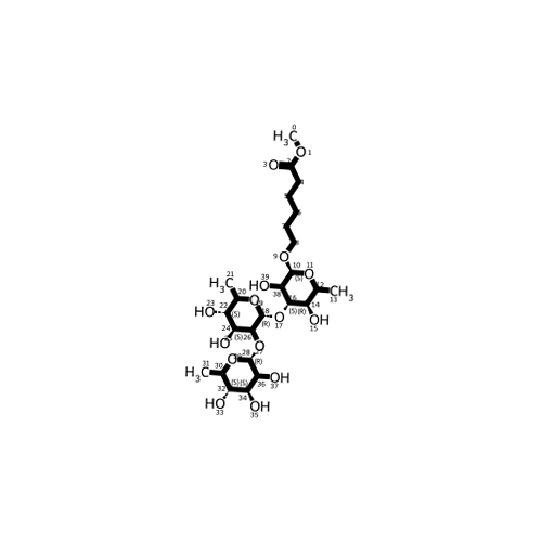 COC(=O)CCCCCO[C@H]1OC(C)[C@@H](O)[C@H](O[C@H]2OC(C)[C@@H](O)[C@H](O)C2O[C@H]2OC(C)[C@@H](O)[C@H](O)C2O)C1O